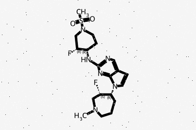 CN1CCC[C@@H](n2ccc3cnc(N[C@@H]4CCN(S(C)(=O)=O)C[C@H]4F)nc32)[C@@H](F)C1